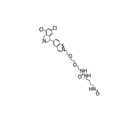 CN1Cc2c(Cl)cc(Cl)cc2C(c2ccc3c(c2)C=CN(CCOCCOCCNC(=O)NCCCCNC=O)S3)C1